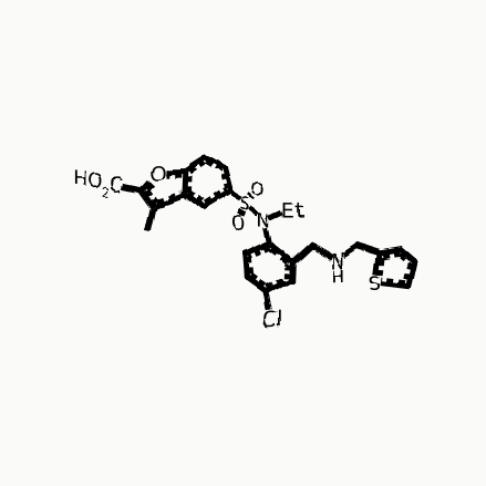 CCN(c1ccc(Cl)cc1CNCc1cccs1)S(=O)(=O)c1ccc2oc(C(=O)O)c(C)c2c1